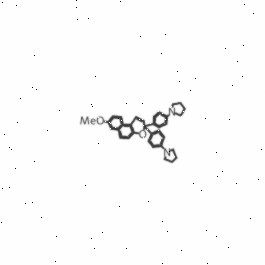 COc1ccc2c3c(ccc2c1)OC(c1ccc(N2CCCC2)cc1)(c1ccc(N2CCCC2)cc1)C=C3